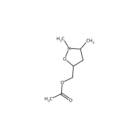 CC(=O)OCC1CC(C)N(C)O1